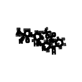 CC(C)(C)OC(=O)N[C@H]1CCCC[C@@H]1Nc1ccc(Nc2cc(N3CC[C@@](C#N)(C4CC4)C3=O)ccn2)nc1